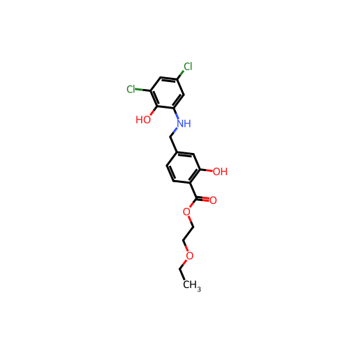 CCOCCOC(=O)c1ccc(CNc2cc(Cl)cc(Cl)c2O)cc1O